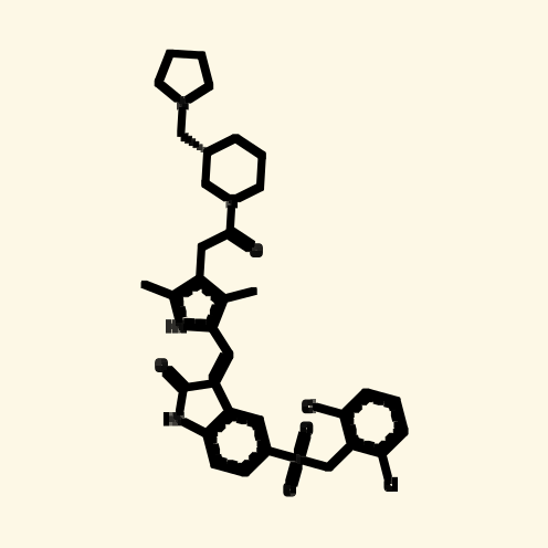 Cc1[nH]c(/C=C2\C(=O)Nc3ccc(S(=O)(=O)Cc4c(Cl)cccc4Cl)cc32)c(C)c1CC(=O)N1CCC[C@@H](CN2CCCC2)C1